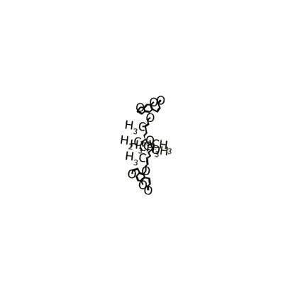 C=C(C)[C@@H](CC/C(C)=C/COc1c2ccoc2cc2oc(=O)ccc12)OC(C)(C)[C@H](O)CC/C(C)=C/COc1c2ccoc2cc2oc(=O)ccc12